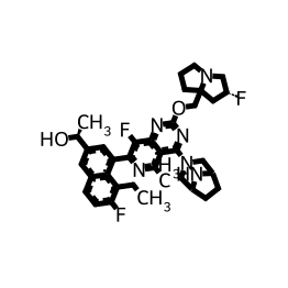 CCc1c(F)ccc2cc([C@H](C)O)cc(-c3nc(C)c4c(N5CC6CCC(C5)N6)nc(OCC56CCCN5C[C@H](F)C6)nc4c3F)c12